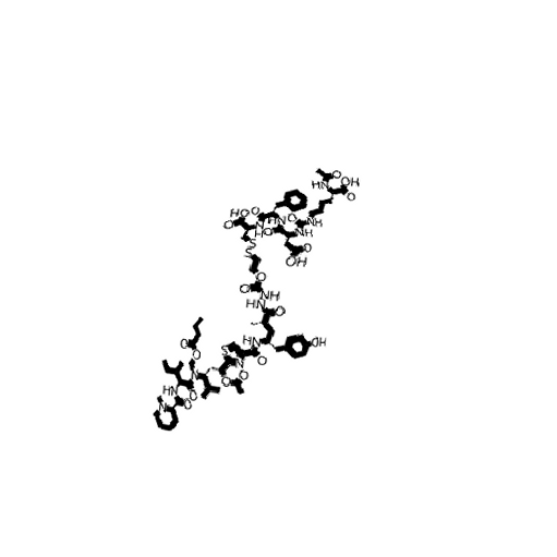 CCCC(=O)OCN(C(=O)[C@@H](NC(=O)[C@H]1CCCCN1C)C(C)CC)[C@H](C[C@@H](OC(C)=O)c1nc(C(=O)N[C@@H](Cc2ccc(O)cc2)C[C@H](C)C(=O)NNC(=O)OCCSSC[C@H](NC(=O)[C@H](Cc2ccccc2)NC(=O)[C@H](CC(=O)O)NC(=O)NCCCC[C@H](NC(C)=O)C(=O)O)C(=O)O)cs1)C(C)C